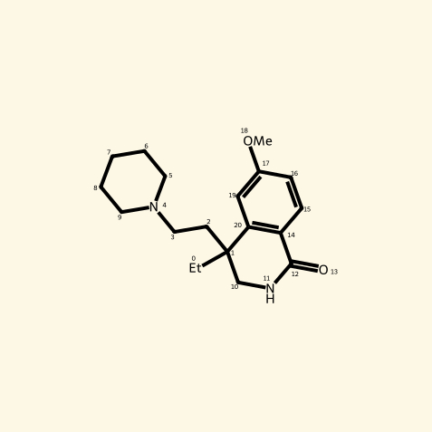 CCC1(CCN2CCCCC2)CNC(=O)c2ccc(OC)cc21